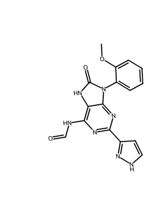 COc1ccccc1-n1c(=O)[nH]c2c(NC=O)nc(-c3cc[nH]n3)nc21